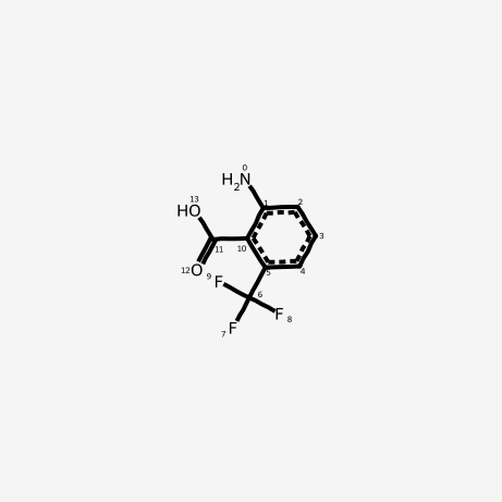 Nc1cccc(C(F)(F)F)c1C(=O)O